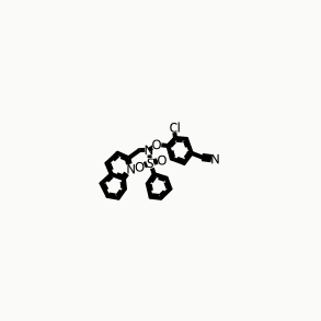 N#Cc1ccc(ON(Cc2ccc3ccccc3n2)S(=O)(=O)c2ccccc2)c(Cl)c1